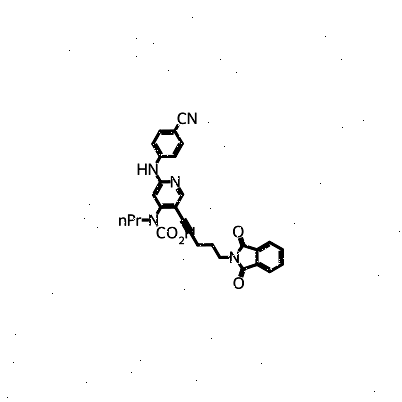 CCCN(C(=O)O)c1cc(Nc2ccc(C#N)cc2)ncc1C#CCCCN1C(=O)c2ccccc2C1=O